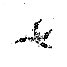 C#CCOc1ccc2cc(C(=O)OCC(O)CN3C(=O)N(CC(O)COC(=O)c4ccc5cc(OCC#C)ccc5c4)C4C3N(CC(O)COC(=O)c3ccc5cc(OCC#C)ccc5c3)C(=O)N4CC(O)COC(=O)c3ccc4cc(OCC#C)ccc4c3)ccc2c1